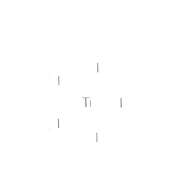 [I][Ti]([I])([I])([I])[I]